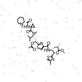 COC(=O)[C@@H](C)C[C@H](Cc1nc(C)cs1)NC(=O)c1csc([C@@H](C[C@H](C(C)C)N(C)C(=O)C2(NC(=O)[C@H]3CCCCN3C)CC2)OC(C)=O)n1